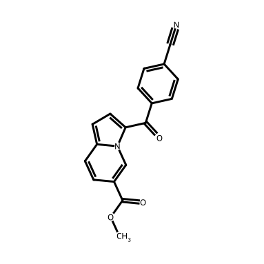 COC(=O)c1ccc2ccc(C(=O)c3ccc(C#N)cc3)n2c1